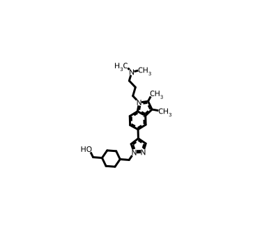 Cc1c(C)n(CCCN(C)C)c2ccc(-c3cnn(CC4CCC(CO)CC4)c3)cc12